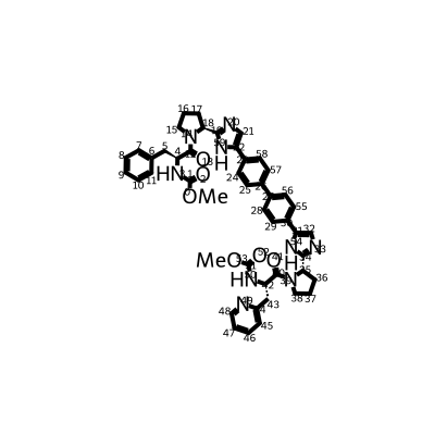 COC(=O)N[C@@H](Cc1ccccc1)C(=O)N1CCC[C@H]1c1ncc(-c2ccc(-c3ccc(-c4cnc([C@@H]5CCCN5C(=O)[C@H](Cc5ccccn5)NC(=O)OC)[nH]4)cc3)cc2)[nH]1